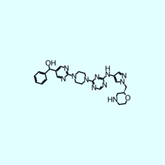 OC(c1ccccc1)c1cnc(N2CCN(c3ncnc(Nc4cnn(C[C@@H]5CNCCO5)c4)n3)CC2)nc1